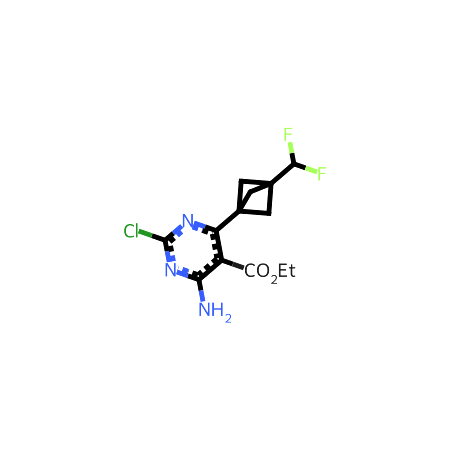 CCOC(=O)c1c(N)nc(Cl)nc1C12CC(C(F)F)(C1)C2